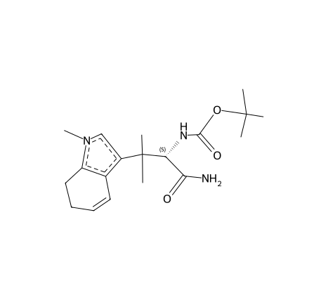 Cn1cc(C(C)(C)[C@H](NC(=O)OC(C)(C)C)C(N)=O)c2c1CCC=C2